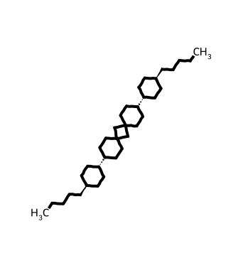 CCCCC[C@H]1CC[C@H](C2CCC3(CC2)CC2(CCC([C@H]4CC[C@H](CCCCC)CC4)CC2)C3)CC1